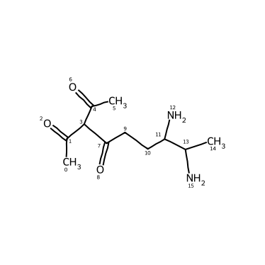 CC(=O)C(C(C)=O)C(=O)CCC(N)C(C)N